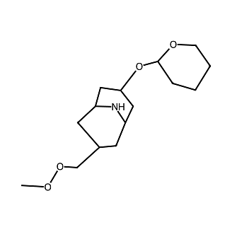 COOCC1CC2CC(OC3CCCCO3)CC(C1)N2